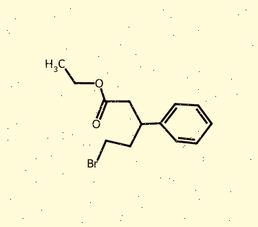 CCOC(=O)CC(CCBr)c1ccccc1